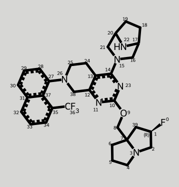 F[C@H]1CN2CCCC2(COc2nc3c(c(N4CC5CCC(C4)N5)n2)CCN(c2cccc4cccc(C(F)(F)F)c24)C3)C1